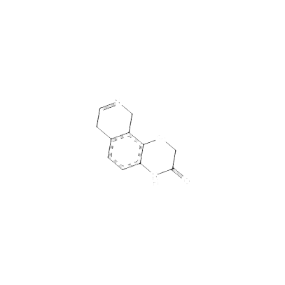 O=C1C[Se]c2c(ccc3c2CN=CC3)N1